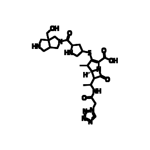 CC(NC(=O)Cn1cnnn1)C1C(=O)N2C(C(=O)O)=C(SC3CNC(C(=O)N4CC5CNCC5(CO)C4)C3)C(C)[C@H]12